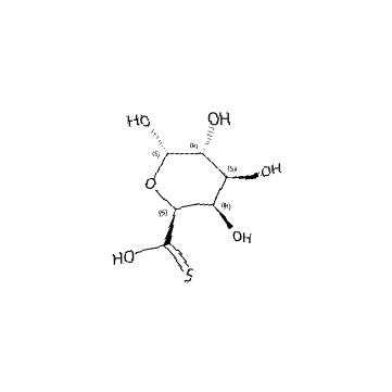 OC(=S)[C@H]1O[C@H](O)[C@H](O)[C@@H](O)[C@H]1O